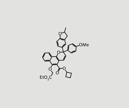 CCOC(=O)COc1c(C(=O)OC2CCC2)c2c(c3ccccc13)OC(c1ccc(OC)cc1)(c1ccc3c(c1)CC(C)O3)C=C2